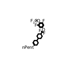 CCCCCC1=CCC(C2CCC(C(F)(F)Oc3cc(F)c(OC(F)(F)F)c(F)c3)CC2)CC1